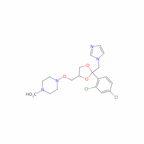 O=C(O)N1CCN(OCC2COC(Cn3ccnc3)(c3ccc(Cl)cc3Cl)O2)CC1